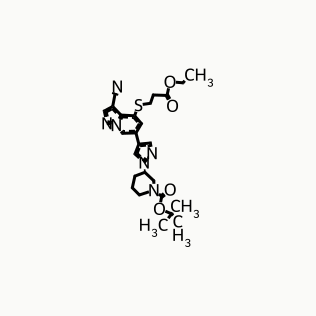 CCOC(=O)CCSc1cc(-c2cnn([C@H]3CCCN(C(=O)OC(C)(C)C)C3)c2)cn2ncc(C#N)c12